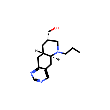 CCCN1C[C@@H](CO)C[C@H]2Cc3ncncc3C[C@@H]21